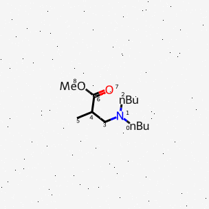 CCCCN(CCCC)CC(C)C(=O)OC